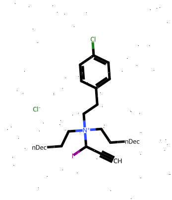 C#CC(I)[N+](CCCCCCCCCCCC)(CCCCCCCCCCCC)CCc1ccc(Cl)cc1.[Cl-]